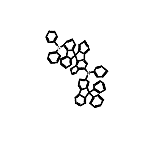 c1ccc(N(c2ccccc2)c2cccc3c2-c2ccccc2C32c3ccccc3-c3cc(N(c4ccccc4)c4ccc5c(c4)C(c4ccccc4)(c4ccccc4)c4ccccc4-5)c4ccccc4c32)cc1